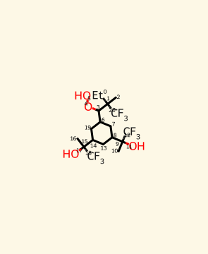 CCC(C)(C(OO)C1CC(C(C)(O)C(F)(F)F)CC(C(C)(O)C(F)(F)F)C1)C(F)(F)F